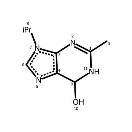 CC1=Nc2c(ncn2C(C)C)C(O)N1